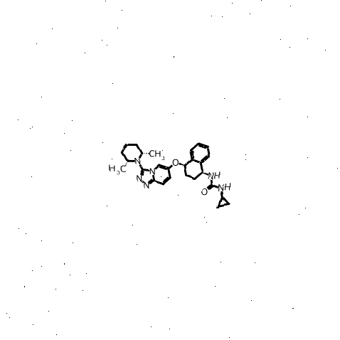 C[C@@H]1CCC[C@H](C)N1c1nnc2ccc(O[C@@H]3CC[C@H](NC(=O)NC4CC4)c4ccccc43)cn12